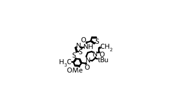 C=CC(=O)N1CCCN(C(=O)c2cc(Sc3cnc(NC(=O)c4ccsc4)s3)c(C)cc2OC)CC1C(C)(C)C